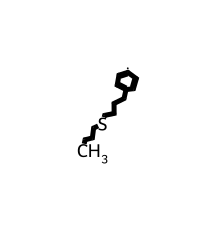 CCCCSCCCCc1cc[c]cc1